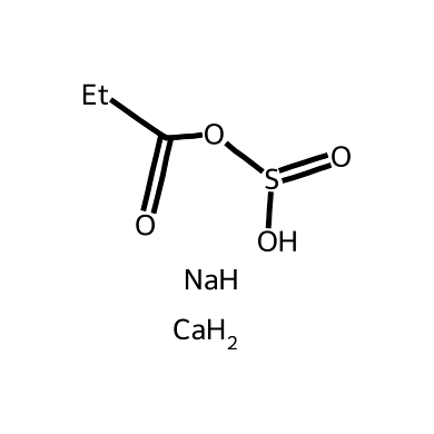 CCC(=O)OS(=O)O.[CaH2].[NaH]